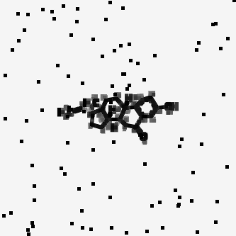 C=C[C@H]1CC[C@H]2[C@@H]3CC(=O)c4cc(O)ccc4[C@H]3CC[C@]12C